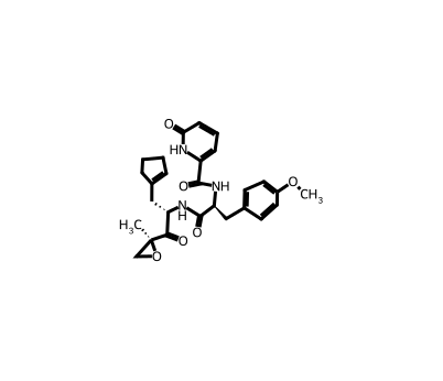 COc1ccc(C[C@H](NC(=O)c2cccc(=O)[nH]2)C(=O)N[C@@H](CC2=CCCC2)C(=O)[C@]2(C)CO2)cc1